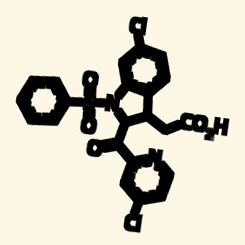 O=C(O)CC1c2ccc(Cl)cc2N(S(=O)(=O)c2ccccc2)C1C(=O)c1cc(Cl)ccn1